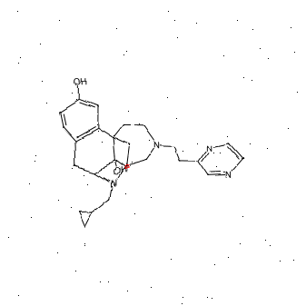 Oc1ccc2c(c1)C13CCN(CCc4cnccn4)CCC1(O)C(C2)N(CC1CC1)CC3